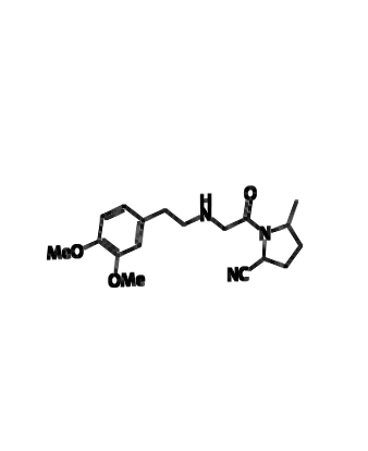 COc1ccc(CCNCC(=O)N2C(C)CCC2C#N)cc1OC